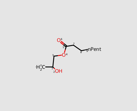 [CH2]C(O)COC(=O)CCCCCCC